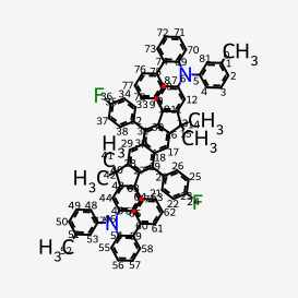 Cc1cccc(N(c2ccc3c(c2)C(C)(C)c2cc4c(-c5ccc(F)cc5)c5c(cc4c(-c4ccc(F)cc4)c2-3)C(C)(C)c2cc(N(c3cccc(C)c3)c3ccccc3-c3ccccc3)ccc2-5)c2ccccc2-c2ccccc2)c1